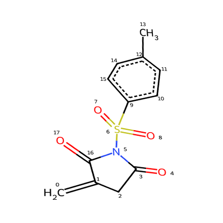 C=C1CC(=O)N(S(=O)(=O)c2ccc(C)cc2)C1=O